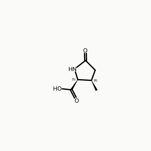 C[C@@H]1CC(=O)N[C@@H]1C(=O)O